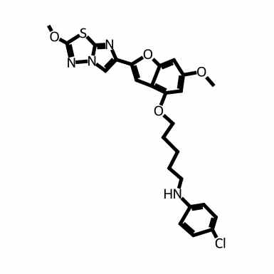 COc1cc(OCCCCCNc2ccc(Cl)cc2)c2cc(-c3cn4nc(OC)sc4n3)oc2c1